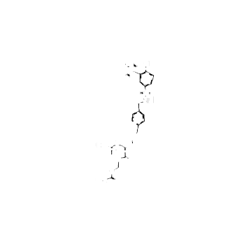 C[C@@H]([C]=O)N[C@@H](COCc1ccc(CNS(=O)(=O)c2ccc(Cl)c(S(N)(=O)=O)c2)cc1)C(=O)OCOC(=O)C(C)(C)C